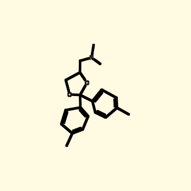 Cc1ccc(C2(c3ccc(C)cc3)OCC(CN(C)C)O2)cc1